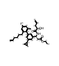 C=CCCCCc1cc(F)cc(C)c1-c1cc(C2CC2)cc([C@H](CC(=O)OCC)NC(=O)[C@H](O)CC=C)c1